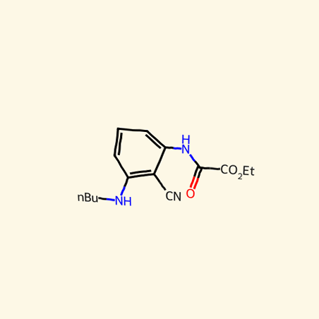 CCCCNc1cccc(NC(=O)C(=O)OCC)c1C#N